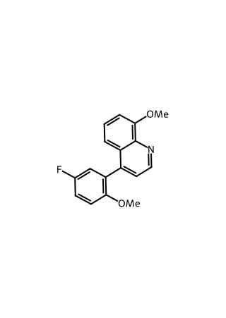 COc1ccc(F)cc1-c1ccnc2c(OC)cccc12